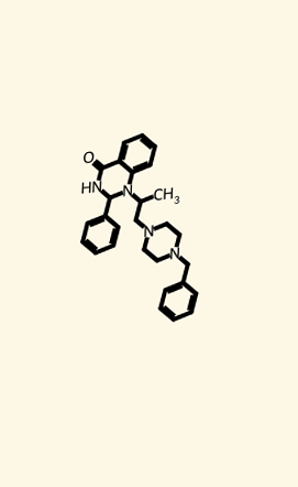 CC(CN1CCN(Cc2ccccc2)CC1)N1c2ccccc2C(=O)NC1c1ccccc1